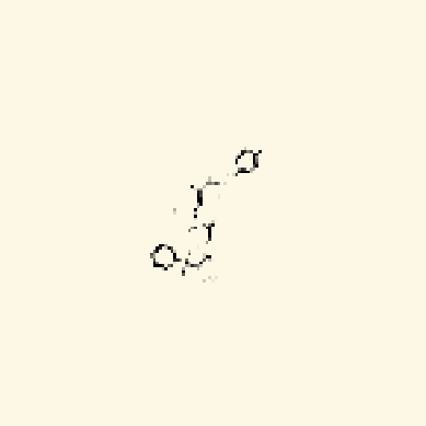 CN[C@H](C(=O)N[C@H](C(=O)N(C)[C@H](C=C(C)C(=O)NS(=O)(=O)c1ccc(Cl)cc1)C(C)C)C(C)(C)C)C(C)(C)c1ccccc1